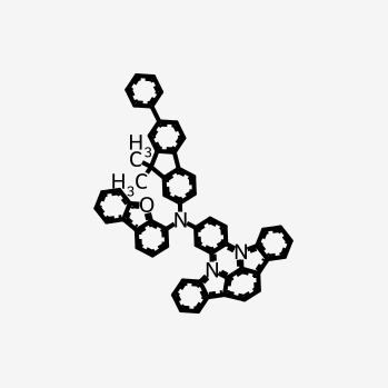 CC1(C)c2cc(-c3ccccc3)ccc2-c2ccc(N(c3ccc4c(c3)n3c5ccccc5c5ccc6c7ccccc7n4c6c53)c3cccc4c3oc3ccccc34)cc21